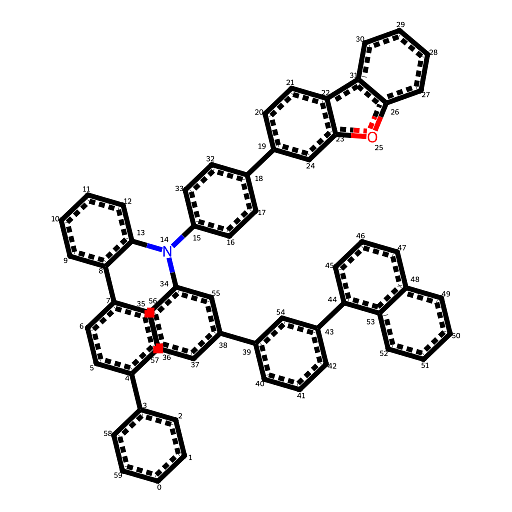 c1ccc(-c2ccc(-c3ccccc3N(c3ccc(-c4ccc5c(c4)oc4ccccc45)cc3)c3cccc(-c4cccc(-c5cccc6ccccc56)c4)c3)cc2)cc1